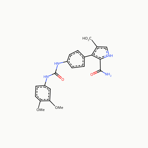 COc1ccc(NC(=O)Nc2ccc(-c3c(C(=O)O)c[nH]c3C(N)=O)cc2)cc1OC